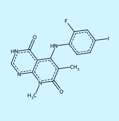 Cc1c(Nc2ccc(I)cc2F)c2c(=O)[nH]cnc2n(C)c1=O